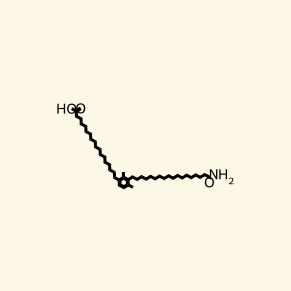 Cc1ccc(CCCCCCCCCCCCCCCCCC(=O)O)c(C)c1CCCCCCCCCCCCCCCCCC(N)=O